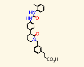 Cc1ccccc1NC(=O)Nc1ccc(C2CCCN(Cc3cccc(CCC(=O)O)c3)C2=O)cc1